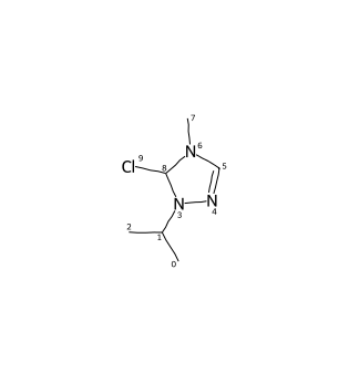 CC(C)N1N=CN(C)C1Cl